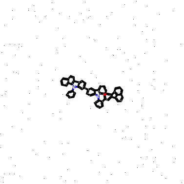 c1ccc(-n2c3cc(-c4ccc5c(c4)c4ccccc4n5-c4ccccc4-c4ccc5c(c4)-c4cccc6cccc-5c46)ccc3c3ccc4ccccc4c32)cc1